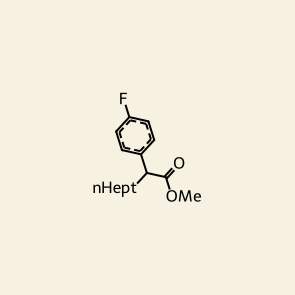 CCCCCCCC(C(=O)OC)c1ccc(F)cc1